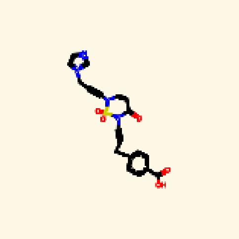 O=C(O)c1ccc(CC#CN2C(=O)C=CN(C#CCn3ccnc3)S2(=O)=O)cc1